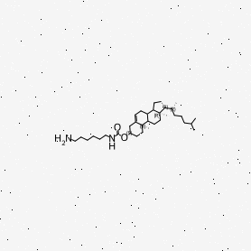 CC(C)CCC[C@@H](C)[C@H]1CCC2C3CC=C4C[C@@H](OC(=O)NCCCCCCN)CC[C@]4(C)C3CC[C@@]21C